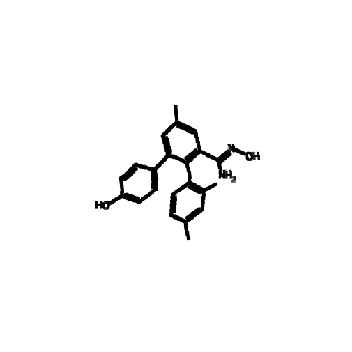 Cc1ccc(-c2c(/C(N)=N/O)cc(C)cc2-c2ccc(O)cc2)c(C)c1